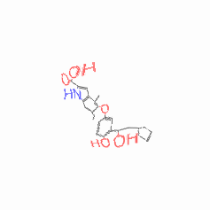 Cc1cc2[nH]c(C(=O)O)cc2c(C)c1Oc1ccc(O)c(C(O)CC2CCCC2)c1